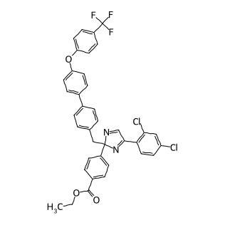 CCOC(=O)c1ccc(C2(Cc3ccc(-c4ccc(Oc5ccc(C(F)(F)F)cc5)cc4)cc3)N=CC(c3ccc(Cl)cc3Cl)=N2)cc1